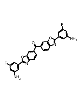 Nc1cc(F)cc(-c2nc3ccc(C(=O)c4ccc5nc(-c6cc(N)cc(F)c6)oc5c4)cc3o2)c1